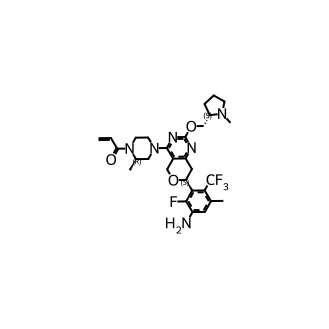 C=CC(=O)N1CCN(c2nc(OC[C@@H]3CCCN3C)nc3c2CO[C@H](c2c(F)c(N)cc(C)c2C(F)(F)F)C3)C[C@H]1C